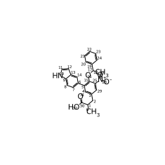 CC(Cc1cc(-c2ccc3[nH]ccc3c2)c(OC(C)c2ccccc2)c([N+](=O)[O-])c1)C(=O)O